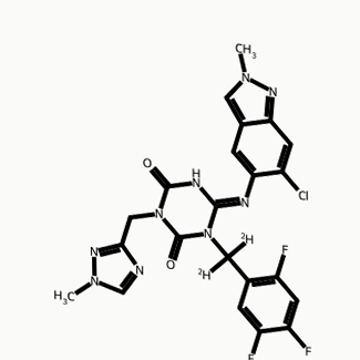 [2H]C([2H])(c1cc(F)c(F)cc1F)n1c(=Nc2cc3cn(C)nc3cc2Cl)[nH]c(=O)n(Cc2ncn(C)n2)c1=O